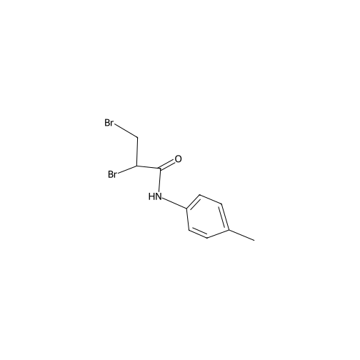 Cc1ccc(NC(=O)C(Br)CBr)cc1